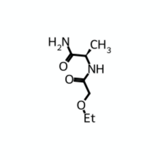 CCOCC(=O)N[C@H](C)C(N)=O